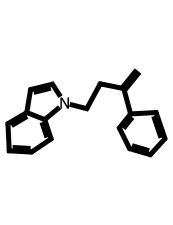 C=C(CCn1ccc2ccccc21)c1ccccc1